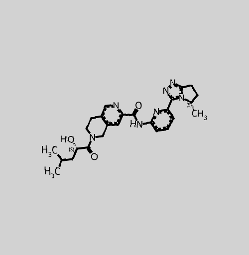 CC(C)C[C@H](O)C(=O)N1CCc2cnc(C(=O)Nc3cccc(-c4nnc5n4[C@@H](C)CC5)n3)cc2C1